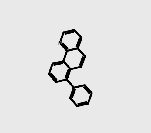 c1ccc(-c2cccc3c2ccc2cccnc23)cc1